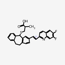 CC(CSC1c2ccccc2CCc2ccc(/C=C/c3ccc4cc(F)c(F)cc4n3)cc21)C(=O)O